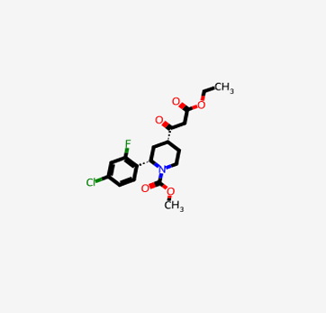 CCOC(=O)CC(=O)[C@@H]1CCN(C(=O)OC)[C@H](c2ccc(Cl)cc2F)C1